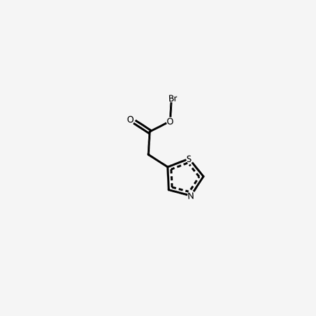 O=C(Cc1cncs1)OBr